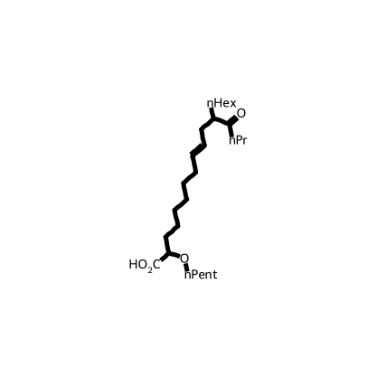 CCCCCCC(CC=CCCCCCCC(OCCCCC)C(=O)O)C(=O)CCC